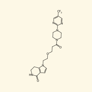 O=C1NCCc2c1ccn2CCOCCC(=O)N1CCN(c2ncc(C(F)(F)F)cn2)CC1